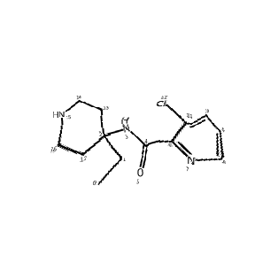 CCC1(NC(=O)c2ncccc2Cl)CCNCC1